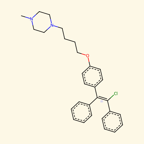 CN1CCN(CCCCOc2ccc(/C(=C(\Cl)c3ccccc3)c3ccccc3)cc2)CC1